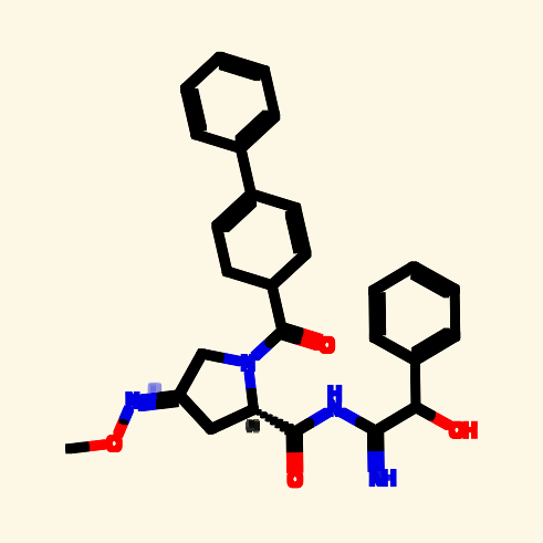 CO/N=C1\C[C@@H](C(=O)NC(=N)C(O)c2ccccc2)N(C(=O)C2C=CC(c3ccccc3)=CC2)C1